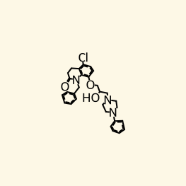 O=C1CCc2c(Cl)ccc(OCC(O)CN3CCN(c4ccccc4)CC3)c2N1Cc1ccccc1